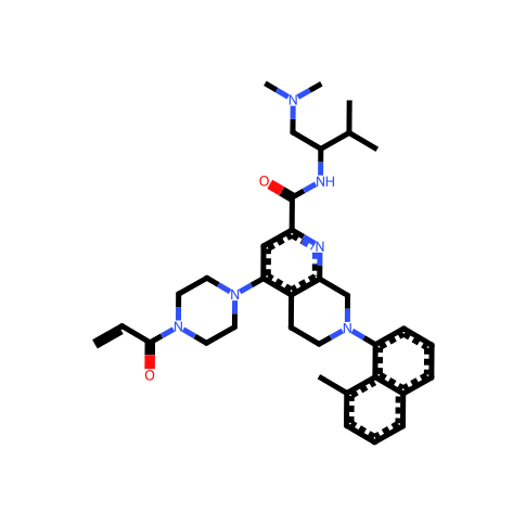 C=CC(=O)N1CCN(c2cc(C(=O)NC(CN(C)C)C(C)C)nc3c2CCN(c2cccc4cccc(C)c24)C3)CC1